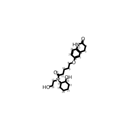 O=C1CCc2cc(OCCCCC(=O)N(CCO)C3CCCCC3O)ccc2N1